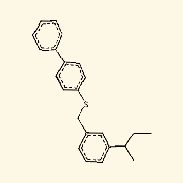 CCC(C)c1cccc(CSc2ccc(-c3ccccc3)cc2)c1